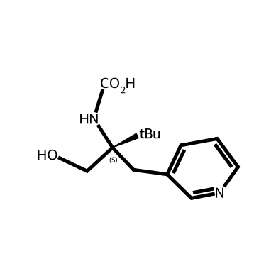 CC(C)(C)[C@](CO)(Cc1cccnc1)NC(=O)O